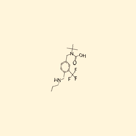 CCCNCc1ccc(CN(C(=O)O)C(C)(C)C)cc1C(F)(F)F